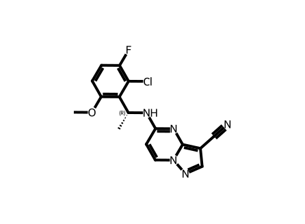 COc1ccc(F)c(Cl)c1[C@@H](C)Nc1ccn2ncc(C#N)c2n1